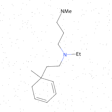 CCN(CCCNC)CCC1(C)C=CC=CC1